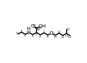 CCCNCC(CCCOCCCC(C)C)C(=O)O